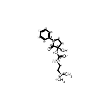 CN(C)CCNC(=O)O[C@@]1(O)CCN(c2ccccc2)C1=O